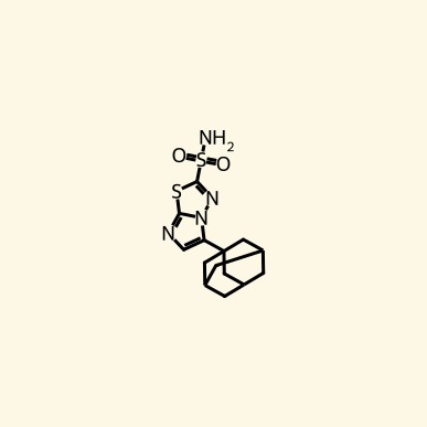 NS(=O)(=O)c1nn2c(C34CC5CC(CC(C5)C3)C4)cnc2s1